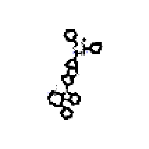 C=N/C(=N\C(=N/Cc1ccccc1)c1ccc2c(c1)oc1cc(-n3c4c(c5ccccc53)C(c3ccccc3)CC/C=C\[C@@H]4C)ccc12)c1ccccc1